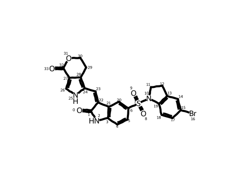 O=C1Nc2ccc(S(=O)(=O)N3CCc4cc(Br)ccc43)cc2C1=Cc1[nH]cc2c1CCOC2=O